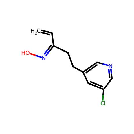 C=CC(CCc1cncc(Cl)c1)=NO